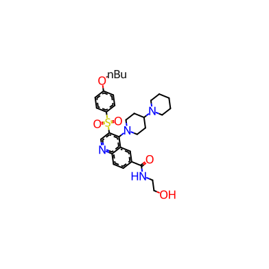 CCCCOc1ccc(S(=O)(=O)c2cnc3ccc(C(=O)NCCO)cc3c2N2CCC(N3CCCCC3)CC2)cc1